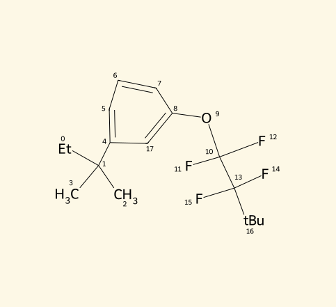 CCC(C)(C)c1cccc(OC(F)(F)C(F)(F)C(C)(C)C)c1